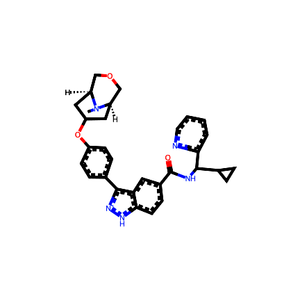 CN1[C@@H]2COC[C@H]1CC(Oc1ccc(-c3n[nH]c4ccc(C(=O)NC(c5ccccn5)C5CC5)cc34)cc1)C2